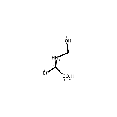 CCC(NCO)C(=O)O